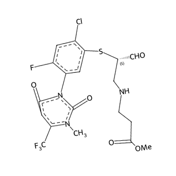 COC(=O)CCNC[C@@H](C=O)Sc1cc(-n2c(=O)cc(C(F)(F)F)n(C)c2=O)c(F)cc1Cl